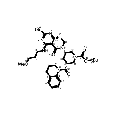 COCCCNc1nc(C(C)(C)C)ncc1C(=O)N(CC(C)C)[C@H]1C[C@@H](C(=O)N2CCCc3ccccc32)CN(C(=O)OC(C)(C)C)C1